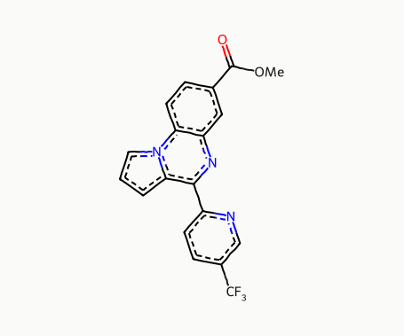 COC(=O)c1ccc2c(c1)nc(-c1ccc(C(F)(F)F)cn1)c1cccn12